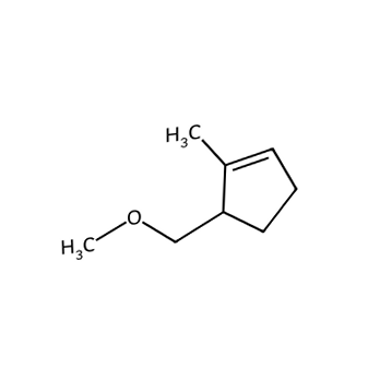 COCC1CCC=C1C